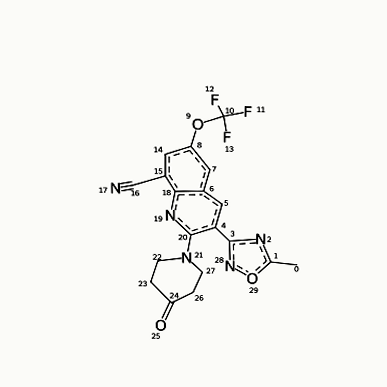 Cc1nc(-c2cc3cc(OC(F)(F)F)cc(C#N)c3nc2N2CCC(=O)CC2)no1